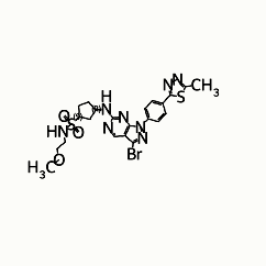 COCCNS(=O)(=O)[C@H]1CC[C@@H](Nc2ncc3c(Br)nn(-c4ccc(-c5nnc(C)s5)cc4)c3n2)C1